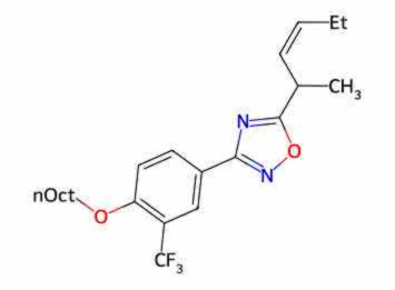 CC/C=C\C(C)c1nc(-c2ccc(OCCCCCCCC)c(C(F)(F)F)c2)no1